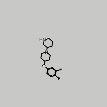 Fc1ccc(OC2CCN(C3CCCNC3)CC2)cc1F